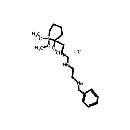 COC1(CCCNCCNCc2ccccc2)CCCC[Si]1(OC)OC.Cl